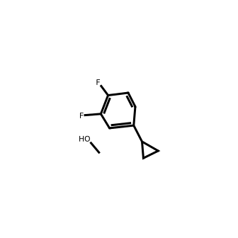 CO.Fc1ccc(C2CC2)cc1F